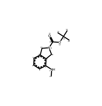 CNc1cccc2c1CN(C(=O)OC(C)(C)C)C2